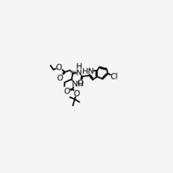 CCOC(=O)C[C@@H](NC(=O)c1cc2cc(Cl)ccc2[nH]1)C(CC)NC(=O)OC(C)(C)C